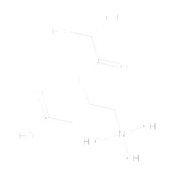 CC(C)C(=O)O[C@@H](CC(=O)O)C[N+](C)(C)C